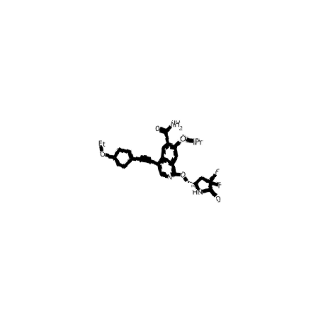 CCOC1CCC(C#Cc2cnc(OC[C@@H]3CC(F)(F)C(=O)N3)c3cc(OC(C)C)c(C(N)=O)cc23)CC1